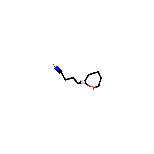 N#CCCC[SiH]1CCCCO1